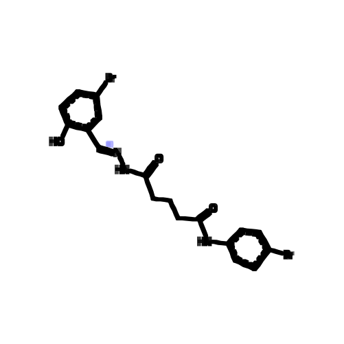 O=C(CCCC(=O)Nc1ccc(Br)cc1)N/N=C/c1cc(Br)ccc1O